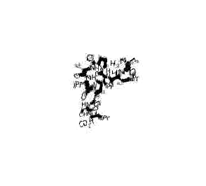 CC(C)C[C@H](NC(=O)[C@H](CO)NC(=O)[C@@H]1CCCN1C(=O)[C@@H](NC(=O)[C@H](C)NC(=O)[C@@H]1CCCN1C(=O)[C@H](CC(C)C)NC(=O)[C@H](CC(C)C)NC(=O)[C@H](C)N)C(C)C)C(=O)O